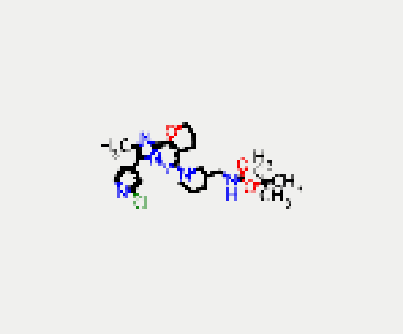 Cc1nc2c3c(c(N4CCCC(CNC(=O)OC(C)(C)C)C4)nn2c1-c1ccnc(Cl)c1)CCCO3